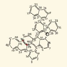 c1ccc(-c2c3ccccc3c(-c3ccc(-c4cccc5ccccc45)c4c3oc3ccccc34)c3ccccc23)c(-c2ccc3ccccc3c2)c1